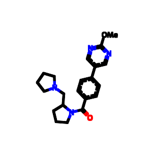 COc1ncc(-c2ccc(C(=O)N3CCCC3CN3CCCC3)cc2)cn1